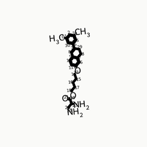 Cc1cc(C)cc(C2=Cc3ccc(OCCCCCOC(=O)C(N)CN)cc3CC2)c1